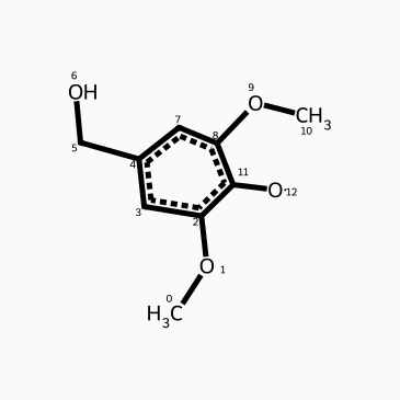 COc1cc(CO)cc(OC)c1[O]